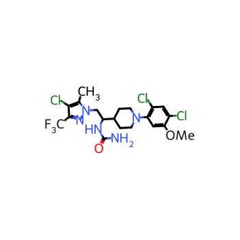 COc1cc(N2CCC(C(Cn3nc(C(F)(F)F)c(Cl)c3C)NC(N)=O)CC2)c(Cl)cc1Cl